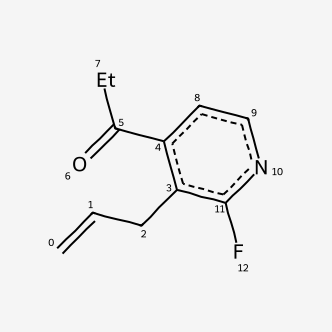 C=CCc1c(C(=O)CC)ccnc1F